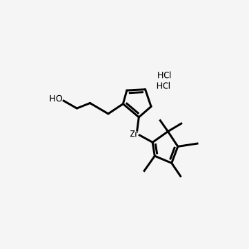 CC1=C(C)C(C)(C)[C]([Zr][C]2=C(CCCO)C=CC2)=C1C.Cl.Cl